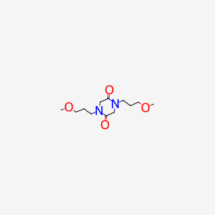 COCCCN1CC(=O)N(CCCOC)CC1=O